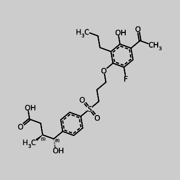 CCCc1c(O)c(C(C)=O)cc(F)c1OCCCS(=O)(=O)c1ccc([C@H](O)[C@@H](C)CC(=O)O)cc1